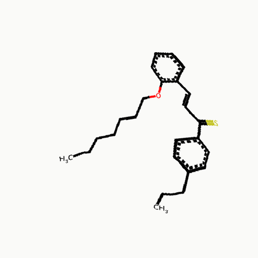 CCCCCCCOc1ccccc1C=CC(=S)c1ccc(CCC)cc1